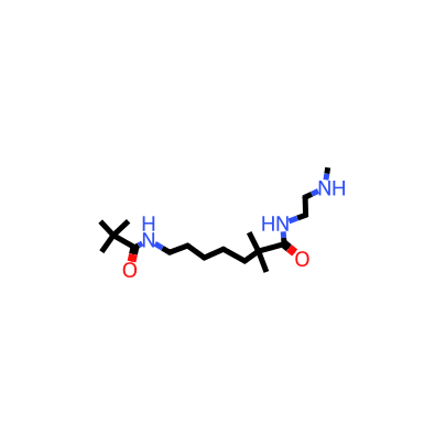 CNCCNC(=O)C(C)(C)CCCCCNC(=O)C(C)(C)C